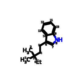 CCC(C)(C)CCc1c[nH]c2ccccc12